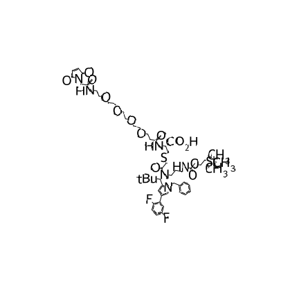 CC(C)(C)C(c1cc(-c2cc(F)ccc2F)cn1Cc1ccccc1)N(CCCNC(=O)OCC[Si](C)(C)C)C(=O)CSC[C@H](NC(=O)CCOCCOCCOCCOCCNC(=O)CN1C(=O)C=CC1=O)C(=O)O